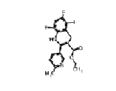 CCOC(=O)C1=C(c2ccc(C)nc2)Nc2c(F)cc(F)c(F)c2C1